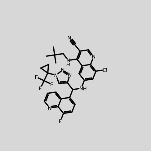 CC(C)(C)CNc1c(C#N)cnc2c(Cl)cc(NC(c3cn(C4(C(F)(F)F)CC4)nn3)c3ccc(F)c4ncccc34)cc12